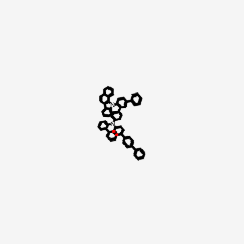 C1=C(c2cc(-c3ccccc3)ccc2-n2c3ccccc3c3ccc4ccccc4c32)CCC(N(c2ccc(-c3ccc(-c4ccccc4)cc3)cc2)c2ccccc2-c2ccccc2)=C1